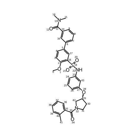 COc1ccc(-c2cccc(C(=O)N(C)C)c2)cc1S(=O)(=O)Nc1cccc(O[C@H]2CCN(C(=O)c3ccccc3C)C2)c1